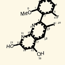 COc1cccc(F)c1-c1nc2nc(O)cc(O)c2cc1F